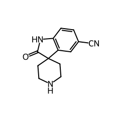 N#Cc1ccc2c(c1)C1(CCNCC1)C(=O)N2